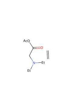 C=C.CCN(CC)CC(=O)OC(C)=O